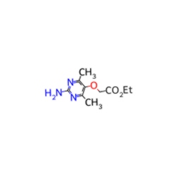 CCOC(=O)COc1c(C)nc(N)nc1C